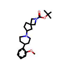 COc1ccccc1C1CCN(C2CCC3(C2)CN(C(=O)OC(C)(C)C)C3)CC1